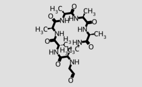 CNC(=O)[C@H](C)NC(=O)[C@H](C)NC(=O)[C@H](C)NC(=O)[C@H](C)NC(=O)[C@H](C)NC(=O)[C@@H](C)NCC=O